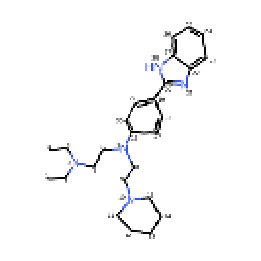 CCN(CC)CCN(CCN1CCCCC1)c1ccc(-c2nc3ccccc3[nH]2)cc1